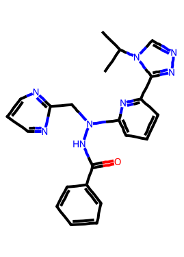 CC(C)n1cnnc1-c1cccc(N(Cc2ncccn2)NC(=O)c2ccccc2)n1